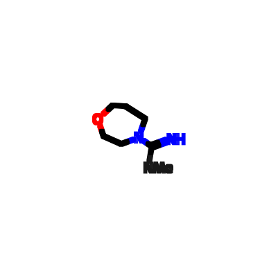 CNC(=N)N1CCCOCC1